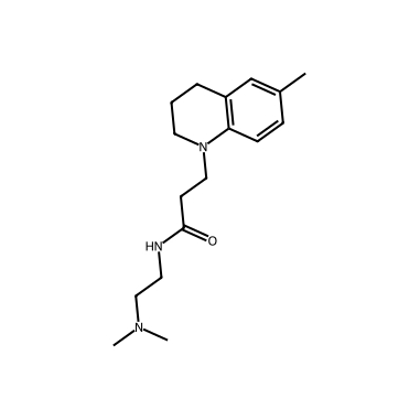 Cc1ccc2c(c1)CCCN2CCC(=O)NCCN(C)C